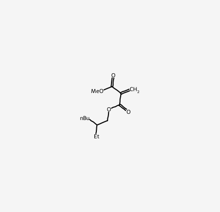 C=C(C(=O)OC)C(=O)OCC(CC)CCCC